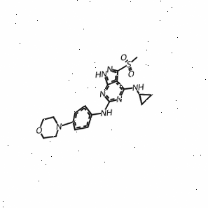 CS(=O)(=O)c1n[nH]c2nc(Nc3ccc(N4CCOCC4)cc3)nc(NC3CC3)c12